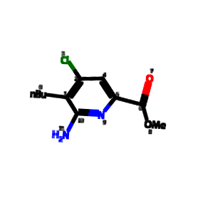 CCCCc1c(Cl)cc(C(=O)OC)nc1N